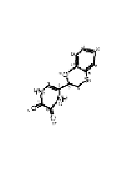 O=c1[nH]cc(C2CSc3ccccc3O2)[nH]c1=O